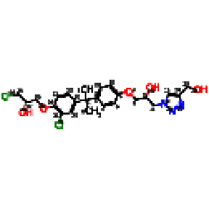 CC(C)(c1ccc(OC[C@@H](O)Cn2cc(CO)nn2)cc1)c1ccc(OC[C@H](O)CCl)c(Cl)c1